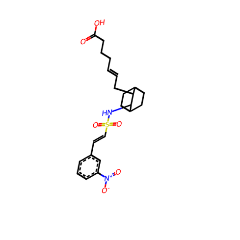 O=C(O)CCC/C=C/CC1C2CCC(CC2)C1NS(=O)(=O)/C=C/c1cccc([N+](=O)[O-])c1